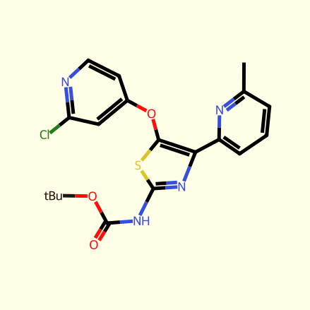 Cc1cccc(-c2nc(NC(=O)OC(C)(C)C)sc2Oc2ccnc(Cl)c2)n1